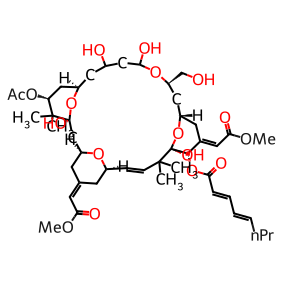 CCC/C=C/C=C/C(=O)O[C@H]1/C(=C/C(=O)OC)C[C@H]2C[C@H](CO)OC(O)CC(O)C[C@@H]3C[C@H](OC(C)=O)C(C)(C)[C@](O)(C[C@@H]4C/C(=C/C(=O)OC)C[C@H](/C=C/C(C)(C)[C@]1(O)O2)O4)O3